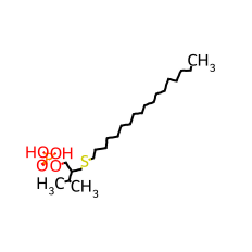 CCCCCCCCCCCCCCCCCCSCC(COP(=O)(O)O)C(C)C